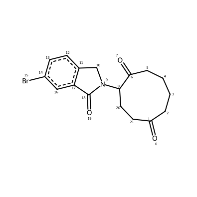 O=C1CCCCC(=O)C(N2Cc3ccc(Br)cc3C2=O)CC1